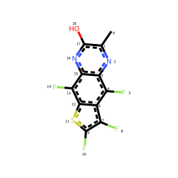 Cc1nc2c(F)c3c(F)c(F)sc3c(F)c2nc1O